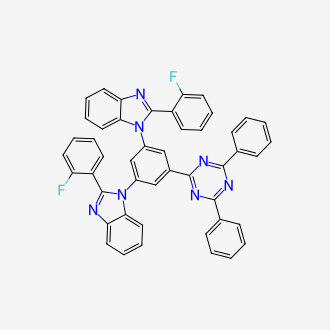 Fc1ccccc1-c1nc2ccccc2n1-c1cc(-c2nc(-c3ccccc3)nc(-c3ccccc3)n2)cc(-n2c(-c3ccccc3F)nc3ccccc32)c1